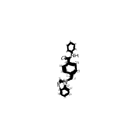 O=C(NC1CCCCC1)c1ccc(Cn2cnc3ccccc32)cc1